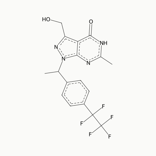 Cc1nc2c(c(CO)nn2C(C)c2ccc(C(F)(F)C(F)(F)F)cc2)c(=O)[nH]1